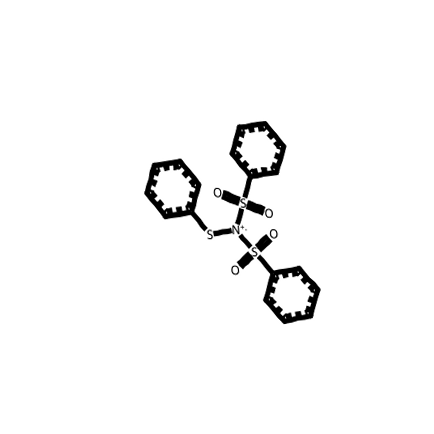 O=S(=O)(c1ccccc1)[N+](Sc1ccccc1)S(=O)(=O)c1ccccc1